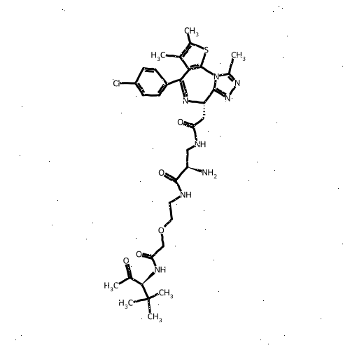 CC(=O)[C@@H](NC(=O)COCCNC(=O)[C@H](N)CNC(=O)C[C@@H]1N=C(c2ccc(Cl)cc2)c2c(sc(C)c2C)-n2c(C)nnc21)C(C)(C)C